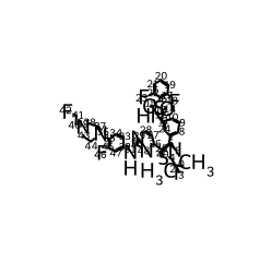 CC(C)(F)c1nc(-c2cccc(NS(=O)(=O)c3c(F)cccc3F)c2)c(-c2ccnc(Nc3ccc(N4CCN(CCF)CC4)c(F)c3)n2)s1